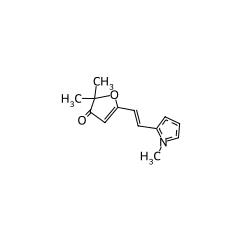 Cn1cccc1/C=C/C1=CC(=O)C(C)(C)O1